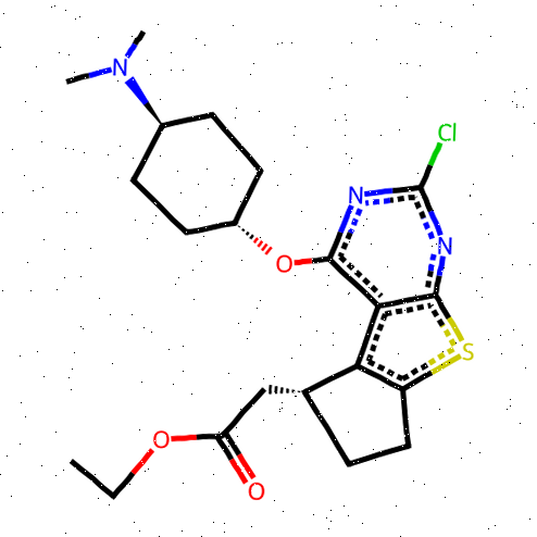 CCOC(=O)C[C@H]1CCc2sc3nc(Cl)nc(O[C@H]4CC[C@H](N(C)C)CC4)c3c21